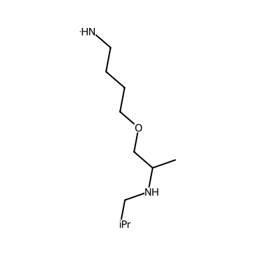 CC(C)CNC(C)COCCCC[NH]